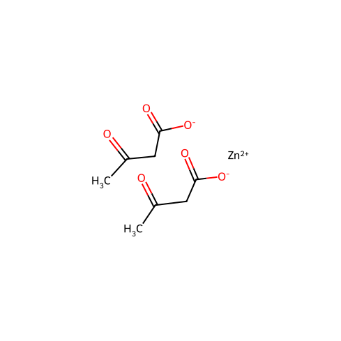 CC(=O)CC(=O)[O-].CC(=O)CC(=O)[O-].[Zn+2]